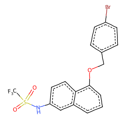 O=S(=O)(Nc1ccc2c(OCc3ccc(Br)cc3)cccc2c1)C(F)(F)F